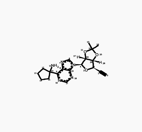 C#C[C@H]1O[C@@H](n2cnc3c(C4(N)CCCC4)ncnc32)[C@@H]2OC(C)(C)O[C@@H]21